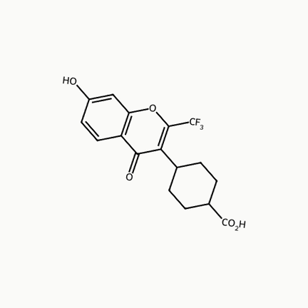 O=C(O)C1CCC(c2c(C(F)(F)F)oc3cc(O)ccc3c2=O)CC1